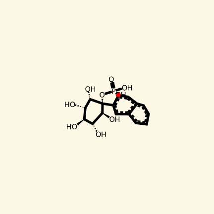 O=P(O)(O)O[C@]1(c2ccc3ccccc3c2)[C@@H](O)[C@H](O)[C@@H](O)[C@H](O)[C@@H]1O